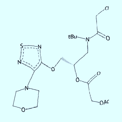 CC(=O)OCC(=O)O[C@H](COc1nsnc1N1CCOCC1)CN(C(=O)CCl)C(C)(C)C